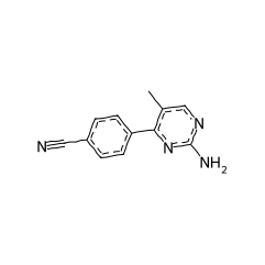 Cc1cnc(N)nc1-c1ccc(C#N)cc1